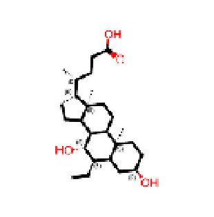 CC[C@@H]1C2C[C@H](O)CC[C@]2(C)C2CC[C@@]3(C)C(CC[C@@H]3[C@H](C)CCC(=O)O)C2[C@H]1O